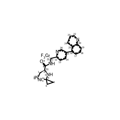 CC(C)C[C@H](NC1(C#N)CC1)C(=O)N[C@@H](c1ccc(-c2cccc3ncccc23)cn1)C(F)(F)F